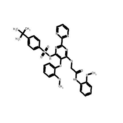 COc1ccccc1NC(=O)COc1nc(-c2ncccn2)nc(NS(=O)(=O)c2ccc(C(C)(C)C)cc2)c1Oc1ccccc1OC